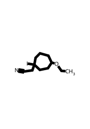 CCOC1CCCC(I)(CC#N)CC1